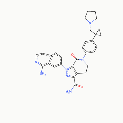 NC(=O)c1nn(-c2ccc3ccnc(N)c3c2)c2c1CCN(c1ccc(C3(CN4CCCC4)CC3)cc1)C2=O